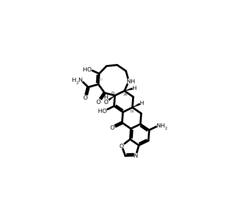 NC(=O)/C1=C(\O)CCCN[C@@H]2C[C@@H]3Cc4c(N)cc5ncoc5c4C(=O)C3=C(O)[C@]2(O)C1=O